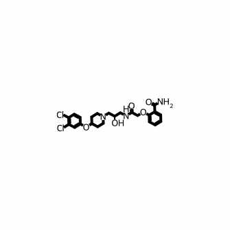 NC(=O)c1ccccc1OCC(=O)NC[C@@H](O)CN1CCC(Oc2ccc(Cl)c(Cl)c2)CC1